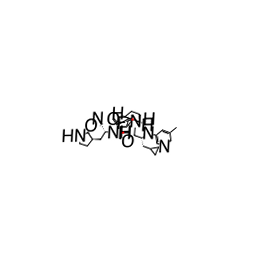 Cc1cncc(N[C@H](CC2CC2)C(=O)N2[C@@H]3CC[C@H]([C@H]2C(=O)N[C@@H](C#N)C[C@H]2CCNC2=O)C(F)(F)C3)c1